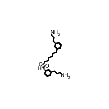 NCCCc1cccc(CCCCCCS(=O)(=O)Nc2cccc(CCCN)c2)c1